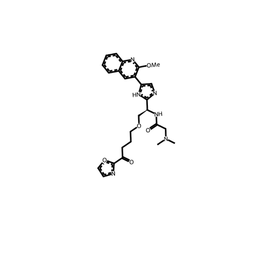 COc1nc2ccccc2cc1-c1cnc([C@H](COCCCC(=O)c2ncco2)NC(=O)CN(C)C)[nH]1